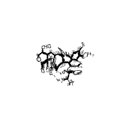 CC[C@@]1(O)C(=O)OCC(C=O)=C1CC1c2nc3cc(F)c(C)c4c3c(c2CN1C)[C@H](NC(=O)[C@@H](N)C(C)C)CS4